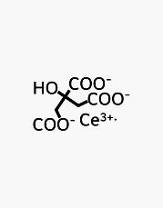 O=C([O-])CC(O)(CC(=O)[O-])C(=O)[O-].[Ce+3]